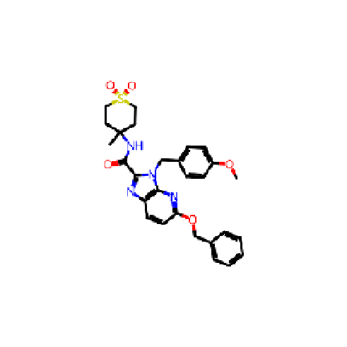 COc1ccc(Cn2c(C(=O)NC3(C)CCS(=O)(=O)CC3)nc3ccc(OCc4ccccc4)nc32)cc1